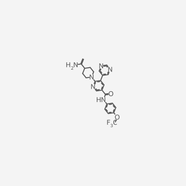 C=C(N)C1CCN(c2ncc(C(=O)Nc3ccc(OC(F)(F)F)cc3)cc2-c2cncnc2)CC1